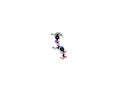 CC(C)[C@@H](COc1nnc(-c2ccc(C(C)(C)C)cc2)o1)Nc1ccc(C(=O)NCCC(=O)O)cc1